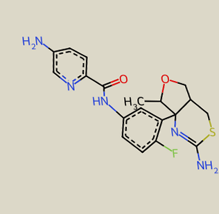 CC1OCC2CSC(N)=NC21c1cc(NC(=O)c2ccc(N)cn2)ccc1F